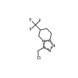 FC(F)(F)C1CCc2nnc(CCl)n2C1